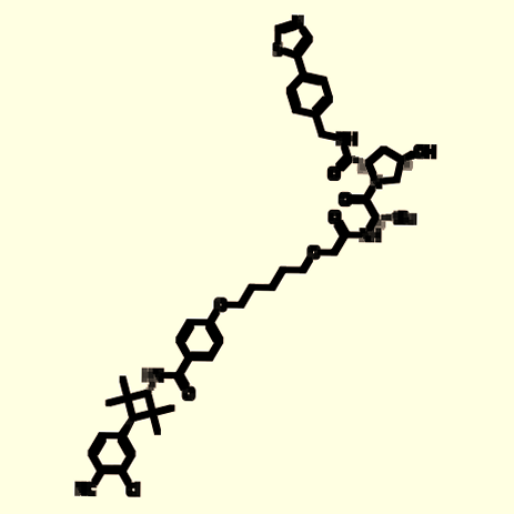 CC(C)(C)[C@H](NC(=O)COCCCCCOc1ccc(C(=O)N[C@H]2C(C)(C)[C@H](c3ccc(C#N)c(Cl)c3)C2(C)C)cc1)C(=O)N1C[C@H](O)C[C@H]1C(=O)NCc1ccc(-c2cncs2)cc1